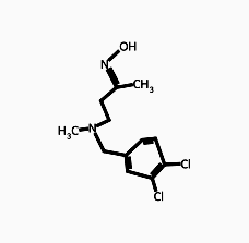 C/C(CCN(C)Cc1ccc(Cl)c(Cl)c1)=N\O